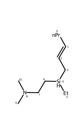 CCCC=CC[SiH](CC)CCN(C)C